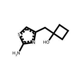 Nc1nc(CC2(O)CCC2)cs1